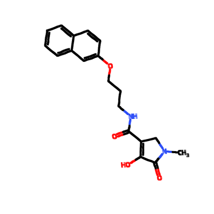 CN1CC(C(=O)NCCCOc2ccc3ccccc3c2)=C(O)C1=O